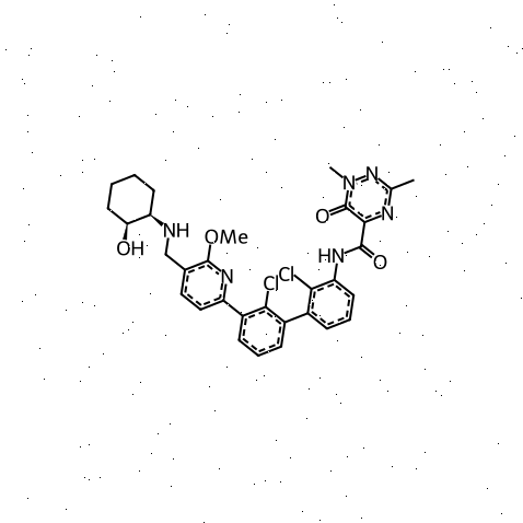 COc1nc(-c2cccc(-c3cccc(NC(=O)c4nc(C)nn(C)c4=O)c3Cl)c2Cl)ccc1CN[C@@H]1CCCC[C@@H]1O